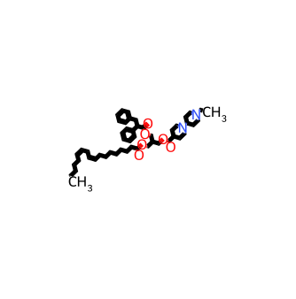 CCCCC/C=C\C/C=C\CCCCCCCC(=O)OCC(COC(=O)C1CCN(C2CCN(CC)CC2)CC1)COC(=O)C(Cc1ccccc1)c1ccccc1